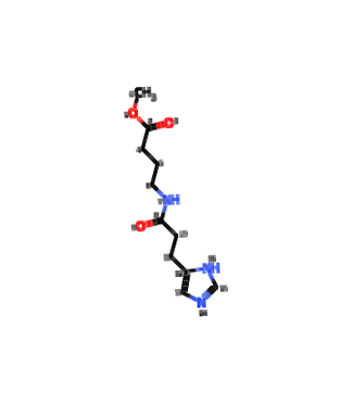 COC(=O)CCCNC(=O)CCc1cnc[nH]1